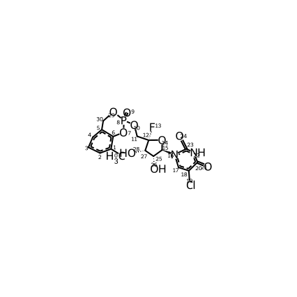 Cc1cccc2c1OP(=O)(OC[C@@]1(F)O[C@@H](n3cc(Cl)c(=O)[nH]c3=O)[C@H](O)[C@@H]1O)OC2